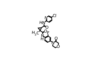 CC1(C(=O)Nc2ccc(N3CCOCC3=O)cc2F)CC1C(=O)Nc1ccc(Cl)cn1